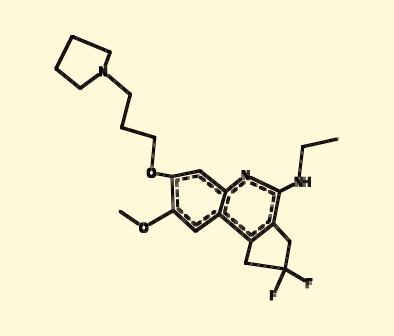 CCNc1nc2cc(OCCCN3CCCC3)c(OC)cc2c2c1CC(F)(F)C2